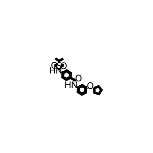 CC(C)S(=O)(=O)Nc1ccc(C(=O)Nc2cccc(OC3CCCC3)c2)cc1